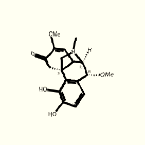 COC1=CC2[C@@H]3[C@H](OC)c4ccc(O)c(O)c4[C@@]2(CC1=O)CN3C